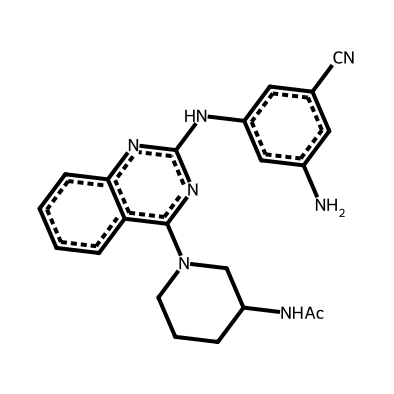 CC(=O)NC1CCCN(c2nc(Nc3cc(N)cc(C#N)c3)nc3ccccc23)C1